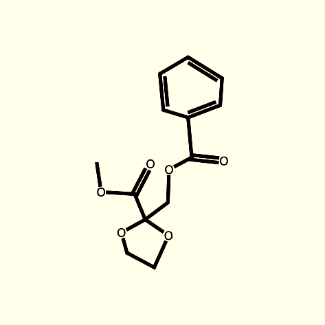 COC(=O)C1(COC(=O)c2ccccc2)OCCO1